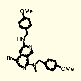 COc1ccc(CNc2cc3c(Br)cnc(N(C)Cc4ccc(OC)cc4)c3cn2)cc1